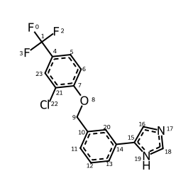 FC(F)(F)c1ccc(OCc2cccc(-c3cnc[nH]3)c2)c(Cl)c1